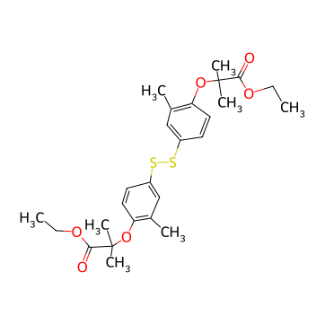 CCOC(=O)C(C)(C)Oc1ccc(SSc2ccc(OC(C)(C)C(=O)OCC)c(C)c2)cc1C